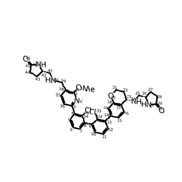 COc1nc(-c2cccc(-c3cccc(-c4ccc5c(c4)OCC[C@@H]5NC[C@H]4CCC(=O)N4)c3Cl)c2Cl)ccc1CNC[C@H]1CCC(=O)N1